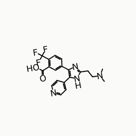 CN(C)CCc1nc(-c2ccc(C(F)(F)F)c(C(=O)O)c2)c(-c2ccncc2)[nH]1